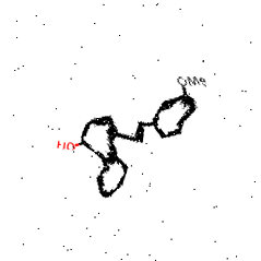 COc1cccc(C=Cc2ccc(O)c3ccccc23)c1